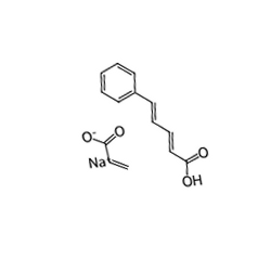 C=CC(=O)[O-].O=C(O)C=CC=Cc1ccccc1.[Na+]